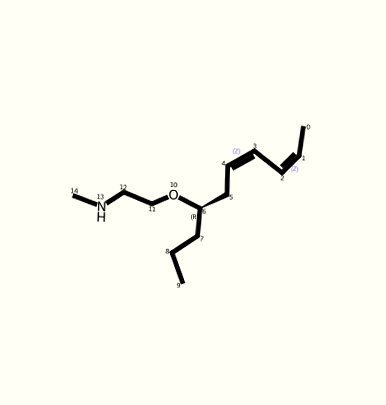 C/C=C\C=C/C[C@@H](CCC)OCCNC